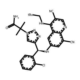 CC(C)(C)CNc1c(C#N)cnc2c(C#N)cc(N[C@H](c3cn(C(C)(C)C(N)=O)nn3)c3ccccc3Cl)cc12